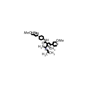 COCc1cc([C@H]2CC[C@H](NC(=O)c3cc(-c4ccnc(OC)c4)n(C)c3/C(N)=N\C=C(C)C)CC2)n[nH]1